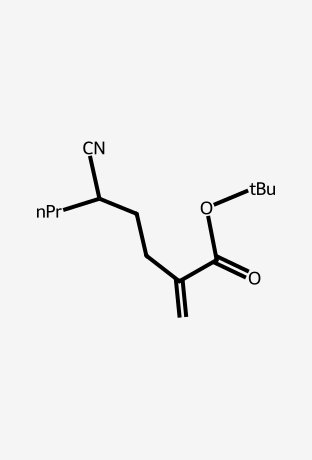 C=C(CCC(C#N)CCC)C(=O)OC(C)(C)C